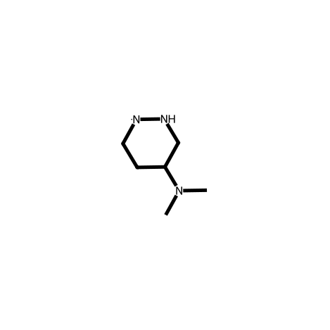 CN(C)C1CC[N]NC1